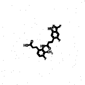 Cc1c(F)ccc(CCC(=O)O)c1NC(=O)C=Cc1cc2[nH]nc(F)c2cc1F